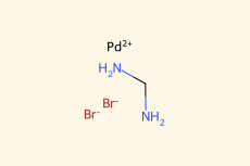 NCN.[Br-].[Br-].[Pd+2]